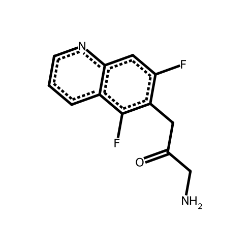 NCC(=O)Cc1c(F)cc2ncccc2c1F